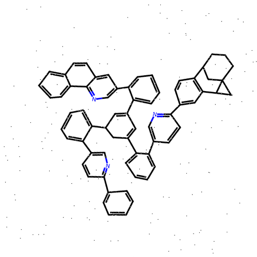 C1=C(c2ccccc2-c2cnc3c(ccc4ccccc43)c2)C=C(c2ccccc2-c2ccc(-c3ccc4c(c3)C3CC35CCCC4C5)nc2)CC1c1ccccc1-c1ccc(-c2ccccc2)nc1